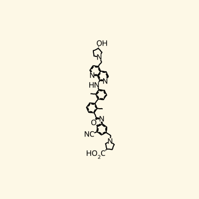 Cc1c(Nc2nccc3c(CN4CC[C@H](O)C4)ccnc23)cccc1-c1cccc(-c2nc3cc(CN4CC[C@@H](C(=O)O)C4)cc(C#N)c3o2)c1C